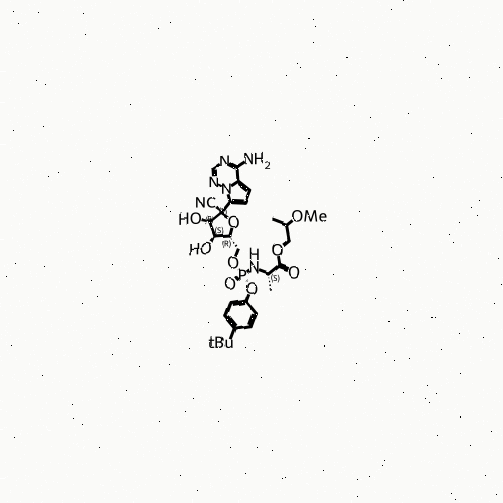 COC(C)COC(=O)[C@H](C)NP(=O)(OC[C@H]1O[C@@](C#N)(c2ccc3c(N)ncnn23)[C@H](O)[C@@H]1O)Oc1ccc(C(C)(C)C)cc1